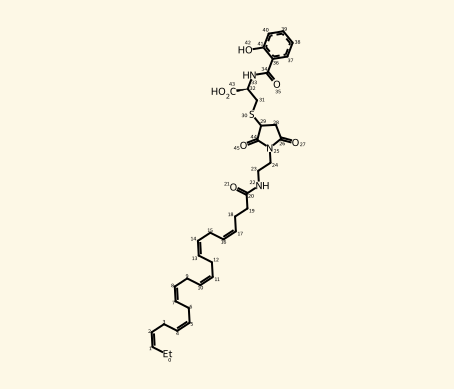 CC/C=C\C/C=C\C/C=C\C/C=C\C/C=C\C/C=C\CCC(=O)NCCN1C(=O)CC(SC[C@H](NC(=O)c2ccccc2O)C(=O)O)C1=O